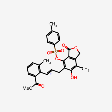 COC(=O)c1cccc(C)c1/C=C/Cc1c(O)c(C)c2c(c1OS(=O)(=O)c1ccc(C)cc1)C(=O)OC2